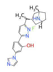 C=C(c1ccc(-c2ccc(-n3ccnc3)cc2O)nn1)[C@H]1C[C@]2(C)CC[C@@H](N2)[C@@H]1F